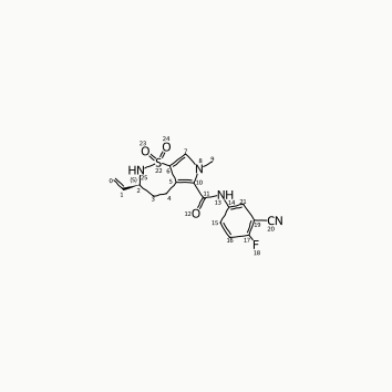 C=C[C@@H]1CCc2c(cn(C)c2C(=O)Nc2ccc(F)c(C#N)c2)S(=O)(=O)N1